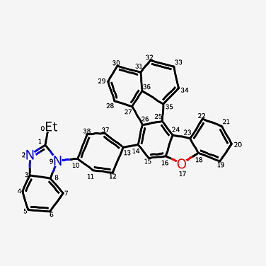 CCc1nc2ccccc2n1-c1ccc(-c2cc3oc4ccccc4c3c3c2-c2cccc4cccc-3c24)cc1